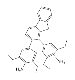 CCc1cc(-c2ccc3c(c2-c2cc(CC)c(N)c(CC)c2)Cc2ccccc2-3)cc(CC)c1N